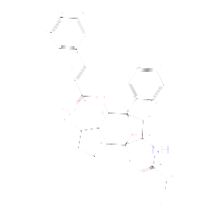 CC1CCC2C1C(OC(=O)/C=C/c1ccccc1)C1(c3ccccc3)CC(NC(=O)CO)C2(C)O1